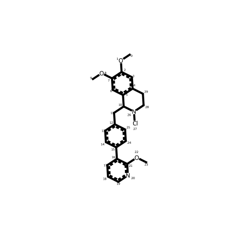 COc1cc2c(cc1OC)C(Cc1ccc(-c3cccnc3OC)cc1)N(Cl)CC2